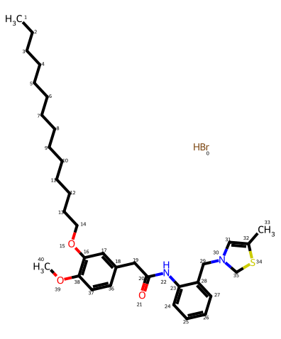 Br.CCCCCCCCCCCCCCOc1cc(CC(=O)Nc2ccccc2CN2C=C(C)SC2)ccc1OC